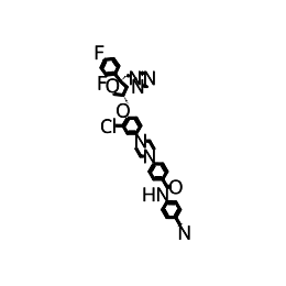 N#Cc1ccc(NC(=O)c2ccc(N3CCN(c4ccc(OC[C@@H]5CO[C@@](Cn6cncn6)(c6ccc(F)cc6F)C5)c(Cl)c4)CC3)cc2)cc1